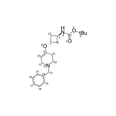 CC(C)(C)OC(=O)N[C@H]1C[C@H](OC2=CCN(Cc3ccccc3)CC2)C1